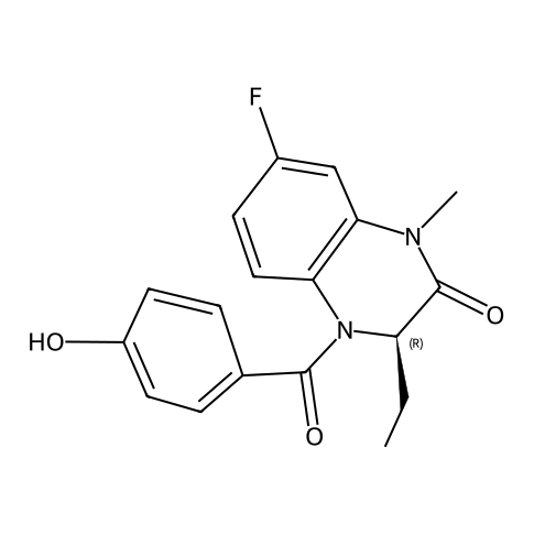 CC[C@@H]1C(=O)N(C)c2cc(F)ccc2N1C(=O)c1ccc(O)cc1